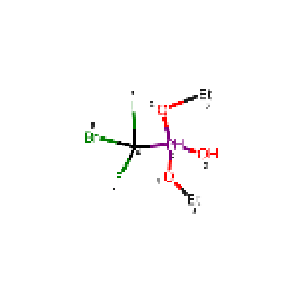 CCO[PH](O)(OCC)C(F)(F)Br